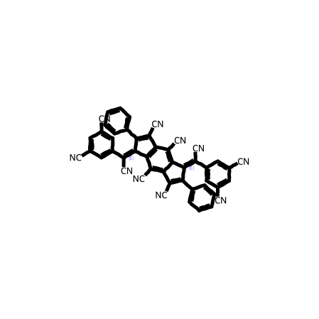 N#CC1=C(c2ccccc2)/C(=C(/C#N)c2cc(C#N)cc(C#N)c2)c2c(C#N)c3c(c(C#N)c21)/C(=C(\C#N)c1cc(C#N)cc(C#N)c1)C(c1ccccc1)=C3C#N